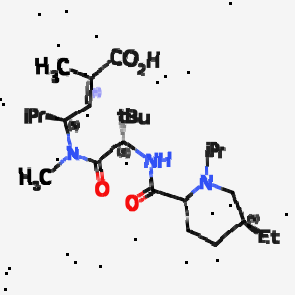 CC[C@H]1CCC(C(=O)N[C@H](C(=O)N(C)[C@H](/C=C(\C)C(=O)O)C(C)C)C(C)(C)C)N(C(C)C)C1